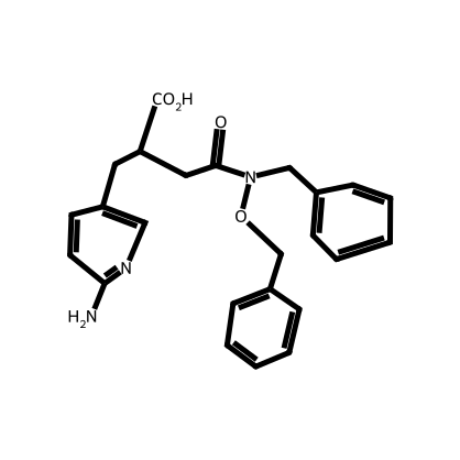 Nc1ccc(CC(CC(=O)N(Cc2ccccc2)OCc2ccccc2)C(=O)O)cn1